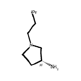 CC(C)CCN1CC[C@@H](N)C1